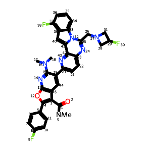 CNC(=O)c1c(-c2ccc(F)cc2)oc2nc(N(C)C)c(-c3ccc4nc(CN5CC(F)C5)n5c6cccc(F)c6cc5c4n3)cc12